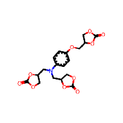 O=C1OCC(COc2ccc(N(CC3COC(=O)O3)CC3COC(=O)O3)cc2)O1